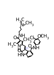 CCN(CC)CCCNC(=O)c1c(C)[nH]c(/C=C2\C(=O)Nc3cccc(C(=O)Nc4ccc(OC)c(Cl)c4)c32)c1C